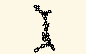 CC1C=C(c2ccc(-c3nc(-c4ccccc4)nc(-c4ccc(-c5ccc6c(c5)C(C)(C)c5ccccc5-6)cc4)n3)cc2)C=C2C1c1ccc(-c3ccc4c(c3)C3(c5cc(-c6cc(-c7ccc(C8=CCCC=C8)cc7)nc(-c7ccc8ccccc8c7)n6)ccc5-4)c4ccccc4C4(C)C=CC=CC43)cc1C2(C)C